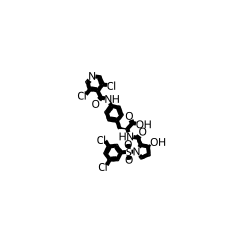 O=C(Nc1ccc(C[C@H](NC(=O)C2[C@@H](O)CCN2S(=O)(=O)c2cc(Cl)cc(Cl)c2)C(=O)O)cc1)c1c(Cl)cncc1Cl